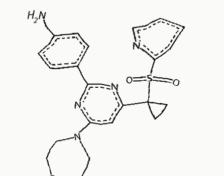 Nc1ccc(-c2nc(N3CCOCC3)cc(C3(S(=O)(=O)c4ccccn4)CC3)n2)cc1